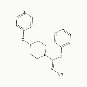 N#C/N=C(\Oc1ccccc1)N1CCC(Oc2ccncc2)CC1